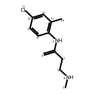 C=C(CCNC)Nc1ccc(Cl)cc1C